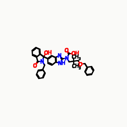 CC(C)(COCc1ccccc1)CN(C(=O)O)c1nc2cc(C3(O)c4ccccc4C(=O)N3Cc3ccccc3)ccc2[nH]1